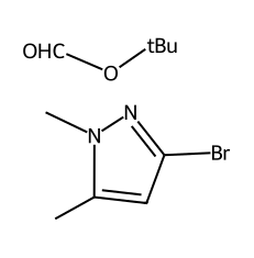 CC(C)(C)OC=O.Cc1cc(Br)nn1C